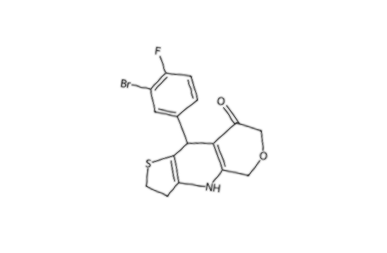 O=C1COCC2=C1C(c1ccc(F)c(Br)c1)C1=C(CCS1)N2